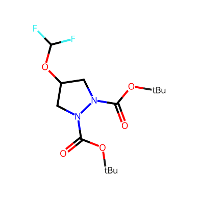 CC(C)(C)OC(=O)N1CC(OC(F)F)CN1C(=O)OC(C)(C)C